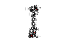 CN1CC[C@]23C4=C5O[C@H]2[C@@H](O)C=C[C@H]3[C@H]1CC4=CCC5(O)OC(=O)c1ccc(-c2ccc(C(=O)OC3(O)CC=C4C[C@@H]5[C@@H]6C=C[C@H](O)[C@@H]7OC3=C4[C@]67CCN5C)cc2)cc1